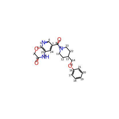 O=C1COc2ncc(C(=O)N3CCC(COc4ccccc4)CC3)cc2N1